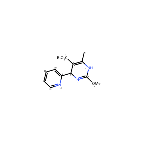 CCOC(=O)C1=C(C)NC(OC)=NC1c1ccccn1